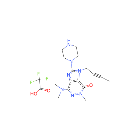 CC#CCn1c(N2CCNCC2)nc2c(N(C)C)nn(C)c(=O)c21.O=C(O)C(F)(F)F